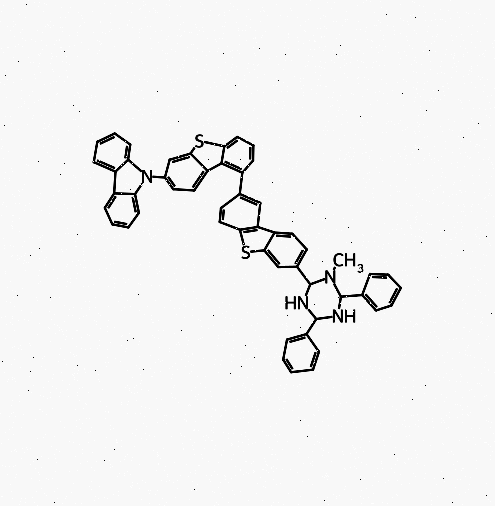 CN1C(c2ccccc2)NC(c2ccccc2)NC1c1ccc2c(c1)sc1ccc(-c3cccc4sc5cc(-n6c7ccccc7c7ccccc76)ccc5c34)cc12